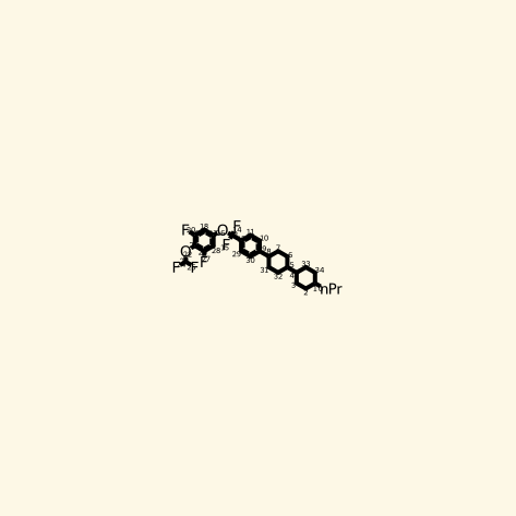 CCCC1CCC(C2CCC(c3ccc(C(F)(F)Oc4cc(F)c(OC(F)F)c(F)c4)cc3)CC2)CC1